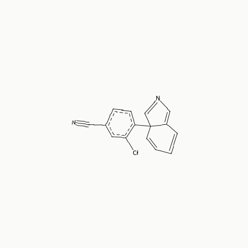 N#Cc1ccc(C23C=CC=CC2=CN=C3)c(Cl)c1